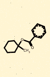 CC1(OC(=O)c2ccccc2)CCCCC1